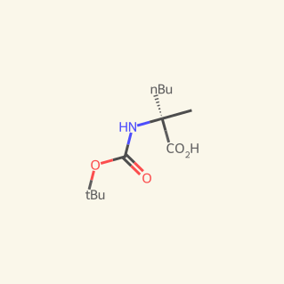 CCCC[C@@](C)(NC(=O)OC(C)(C)C)C(=O)O